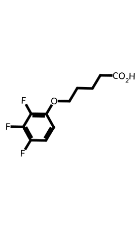 O=C(O)CCCCOc1ccc(F)c(F)c1F